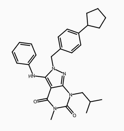 CC(C)Cn1c(=O)n(C)c(=O)c2c(Nc3ccccc3)n(Cc3ccc(C4CCCC4)cc3)nc21